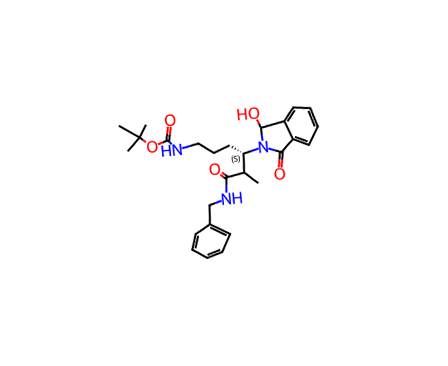 CC(C(=O)NCc1ccccc1)[C@H](CCCNC(=O)OC(C)(C)C)N1C(=O)c2ccccc2C1O